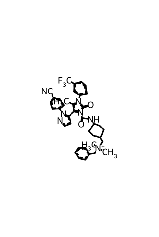 Cc1c(-c2ccnn2-c2ccc(C#N)cc2)n(C(=O)NC2CCC(C[N+](C)(C)Cc3ccccc3)CC2)c(=O)n1-c1cccc(C(F)(F)F)c1